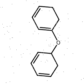 C1=CCCC(OC2C=CC=CC2)=C1